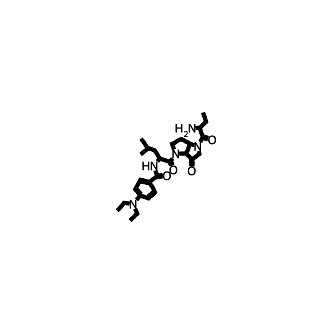 CCC(N)C(=O)N1CC(=O)C2C1CCN2C(=O)C(CC(C)C)NC(=O)c1ccc(N(CC)CC)cc1